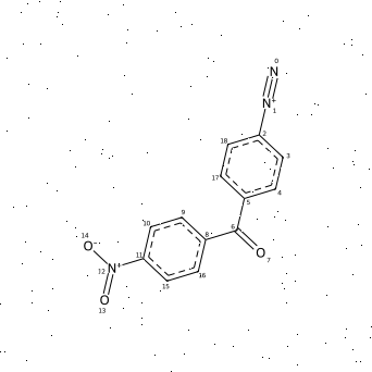 N#[N+]c1ccc(C(=O)c2ccc([N+](=O)[O-])cc2)cc1